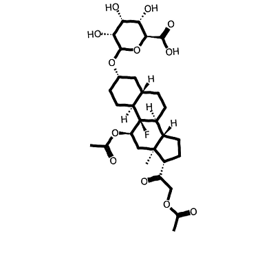 CC(=O)OCC(=O)[C@H]1CC[C@H]2[C@@H]3CC[C@H]4C[C@@H](OC5O[C@H](C(=O)O)[C@@H](O)[C@@H](O)[C@H]5O)CC[C@@H]4[C@@]3(F)[C@H](OC(C)=O)C[C@]12C